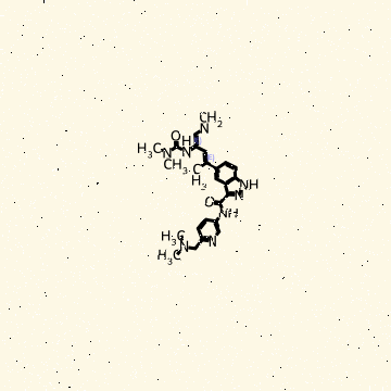 C=N/C=C(\C=C(/C)c1ccc2[nH]nc(C(=O)Nc3ccc(CN(C)C)nc3)c2c1)NC(=O)N(C)C